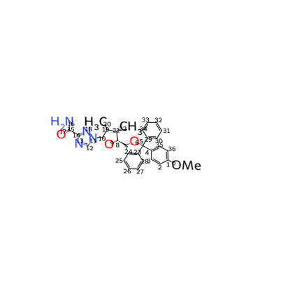 COc1ccc(C(OC[C@H]2O[C@@H](n3cnc(C(N)=O)n3)C(C)C2C)(c2ccccc2)c2ccccc2)cc1